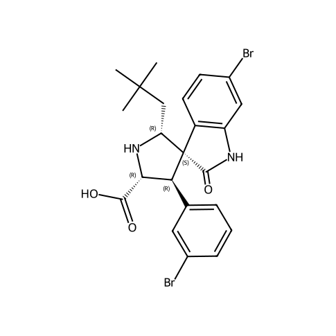 CC(C)(C)C[C@H]1N[C@@H](C(=O)O)[C@H](c2cccc(Br)c2)[C@@]12C(=O)Nc1cc(Br)ccc12